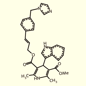 COC(=O)C1=C(C)NC(C)=C(C(=O)OCC=Cc2ccc(Cn3ccnc3)cc2)C1c1c[nH]c2ccccc12